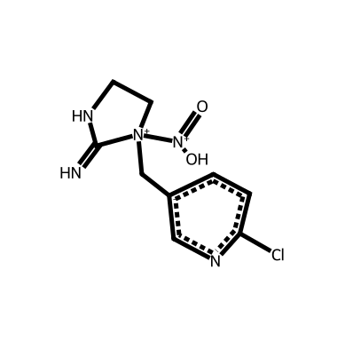 N=C1NCC[N+]1(Cc1ccc(Cl)nc1)[N+](=O)O